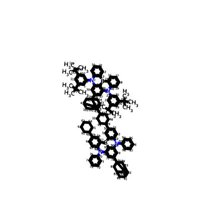 CC(C)(C)c1cc(N2c3ccccc3B3c4ccccc4N(c4cc(C(C)(C)C)cc(C(C)(C)C)c4)c4cc(C56CC7CC(C5)C(C5CCC(c8ccc9c(c8)B8c%10cc(C%11CCCCC%11)ccc%10N(c%10ccccc%10)c%10cc(C%11%12CC%13CC(CC(C%13)C%11)C%12)cc(c%108)N9c8ccccc8)CC5)C(C7)C6)cc2c43)cc(C(C)(C)C)c1